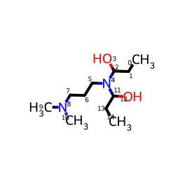 CCC(O)N(CCCN(C)C)C(O)CC